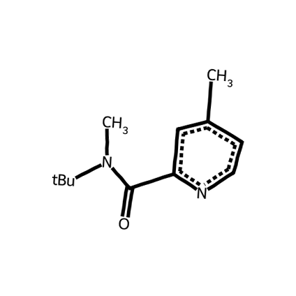 Cc1ccnc(C(=O)N(C)C(C)(C)C)c1